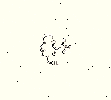 CCC[CH2][Sn+2][CH2]CCC.O=CC(=O)[O-].O=CC(=O)[O-]